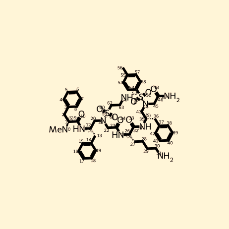 CN[C@@H](Cc1ccccc1)C(=O)N[C@@H](Cc1ccccc1)CN(CC(=O)N[C@@H](CCCCN)C(=O)N[C@@H](Cc1ccccc1)CN(CC(N)=O)S(=O)(=O)c1ccc(C)cc1)S(=O)(=O)CCN